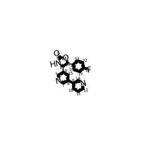 O=C1N[C@H](c2cncc(-c3cccnc3)c2)[C@@H](c2ccc(F)cc2)O1